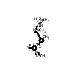 Cc1cn(-c2cc(NC(=O)c3ccc(C)c(C#Cc4cnc(C(=O)NCCN(C)C)n4C)c3)cc(C(F)(F)F)c2)cn1